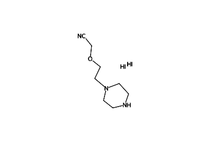 I.I.N#CCOCCN1CCNCC1